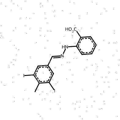 Cc1c(I)cc(/C=N/Nc2ccccc2C(=O)O)cc1I